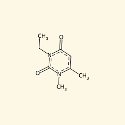 CCn1c(=O)cc(C)n(C)c1=O